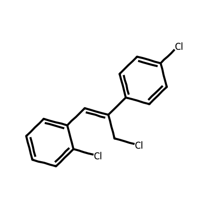 ClCC(=Cc1ccccc1Cl)c1ccc(Cl)cc1